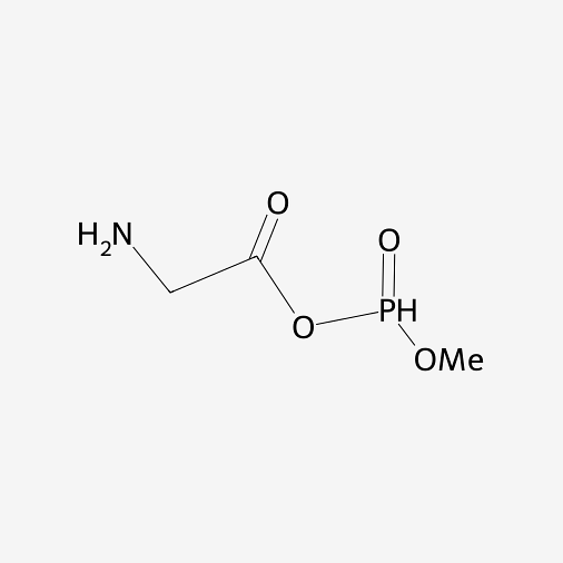 CO[PH](=O)OC(=O)CN